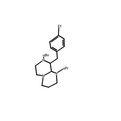 CCCCN1CCN2CCCN(CCC)C2C1Cc1ccc(CC)cc1